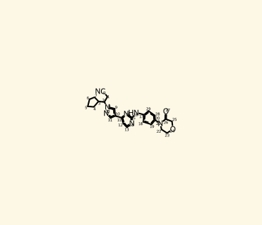 N#CCC(C1CCCC1)n1cc(-c2ccnc(Nc3ccc(N4CCOCC4=O)cc3)n2)cn1